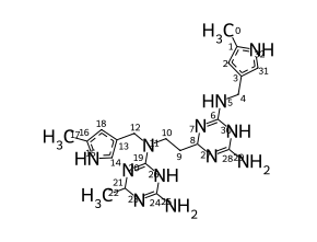 Cc1cc(CNC2=NC(CCN(Cc3c[nH]c(C)c3)C3=NC(C)N=C(N)N3)N=C(N)N2)c[nH]1